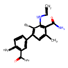 C=CNc1c(C(N)=O)c(C)cc(-c2ccc(CCC)c(C(=O)CCC)c2)c1C(C)CC